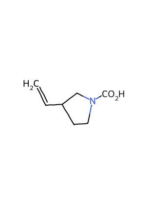 C=CC1CCN(C(=O)O)C1